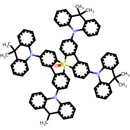 CC1c2ccccc2N(c2ccc3c(c2)-c2cc(N4c5ccccc5C(C)(C)c5ccccc54)ccc2S32(=O)c3ccc(N4c5ccccc5C(C)(C)c5ccccc54)cc3-c3cc(N4c5ccccc5C(C)(C)c5ccccc54)ccc32)c2ccccc21